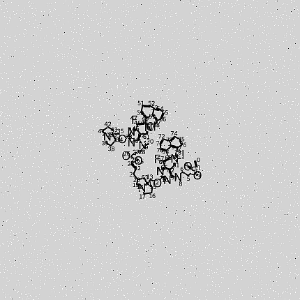 C=CS(=O)(=O)CCN(C)c1nc(OCC23CCCN2CC(C/C=C/S(=O)(=O)CCN(C)c2nc(OCC45CCCN4CCC5)nc4c(F)c(-c5cccc6cccc(Cl)c56)ncc24)C3)nc2c(F)c(-c3cccc4cccc(Cl)c34)ncc12